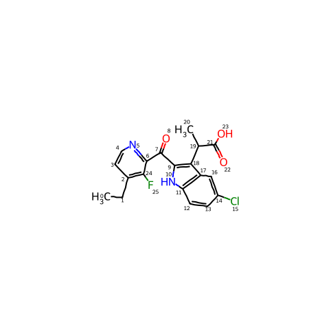 CCc1ccnc(C(=O)c2[nH]c3ccc(Cl)cc3c2C(C)C(=O)O)c1F